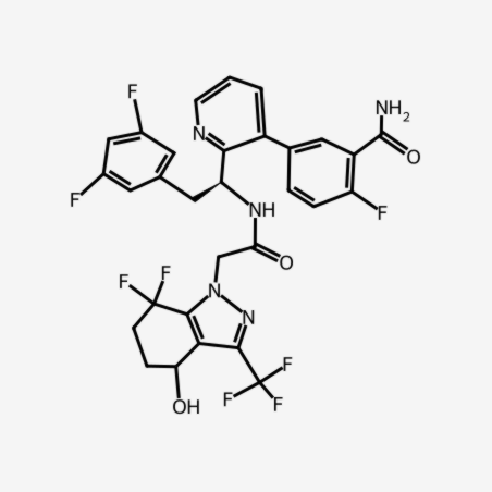 NC(=O)c1cc(-c2cccnc2[C@H](Cc2cc(F)cc(F)c2)NC(=O)Cn2nc(C(F)(F)F)c3c2C(F)(F)CCC3O)ccc1F